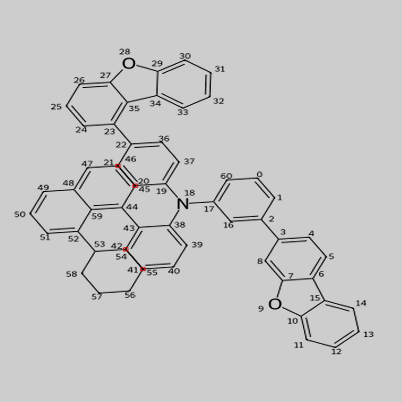 c1cc(-c2ccc3c(c2)oc2ccccc23)cc(N(c2ccc(-c3cccc4oc5ccccc5c34)cc2)c2ccccc2-c2cccc3cccc(C4CCCCC4)c23)c1